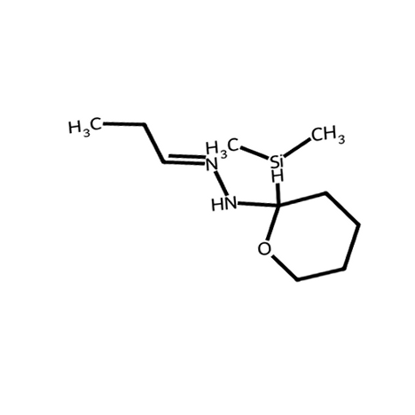 CCC=NNC1([SiH](C)C)CCCCO1